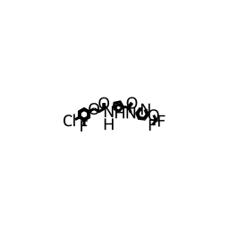 O=C(COc1ccc(Cl)c(F)c1)NC12CCC(C(=O)Nc3ccc(OC(F)F)nc3)(C1)C2